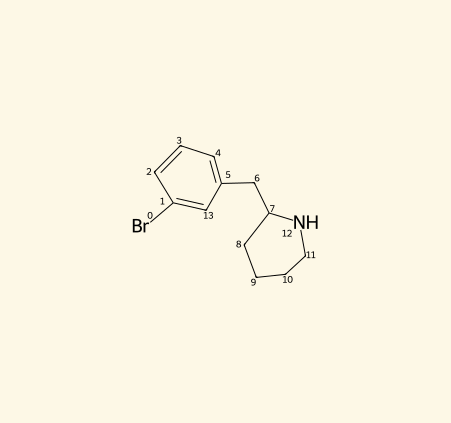 Brc1cccc(CC2CCCCN2)c1